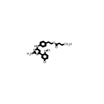 CCOc1ccc(Cl)cc1-c1cc(Nc2ccc(CCOC(=O)CCC(=O)O)cc2)nc(N)n1